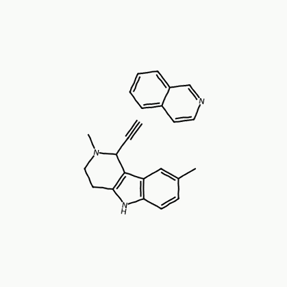 C#CC1c2c([nH]c3ccc(C)cc23)CCN1C.c1ccc2cnccc2c1